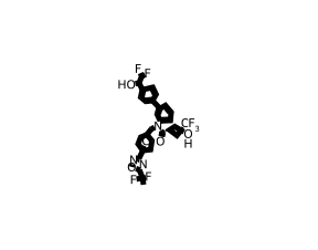 CC(F)(F)c1nc(C23CCC(CN(c4cccc(-c5ccc(C(O)C(F)F)cc5)c4)C(=O)[C@H]4C[C@](O)(C(F)(F)F)C4)(CC2)CC3)no1